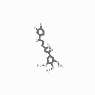 COc1cc(-c2cc(C=CC(=O)c3ccc(F)c(F)c3)[nH]n2)cc(OC)c1OC